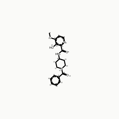 COc1ccnc(C(=O)NC2CCN(C(=O)c3ccccc3)CC2)c1O